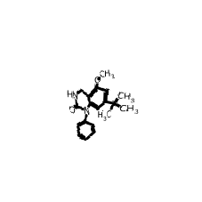 COc1cc(C(C)(C)C)cc2c1CNC(=O)N2c1ccccc1